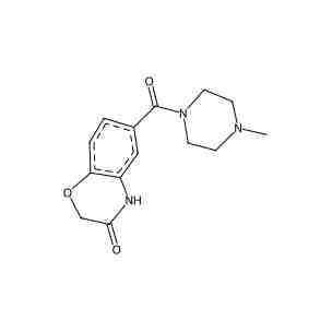 CN1CCN(C(=O)c2ccc3c(c2)NC(=O)CO3)CC1